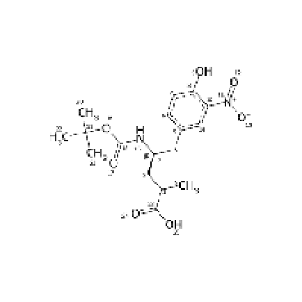 CC(C[C@H](Cc1ccc(O)c([N+](=O)[O-])c1)NC(=O)OC(C)(C)C)C(=O)O